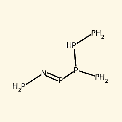 P/N=P/P(P)PP